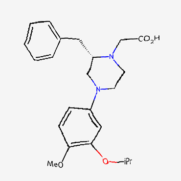 COc1ccc(N2CCN(CC(=O)O)[C@@H](Cc3ccccc3)C2)cc1OC(C)C